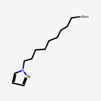 CCCCCCCCCCCCCCCCCC[N]1C=C[CH]=[Sb]1